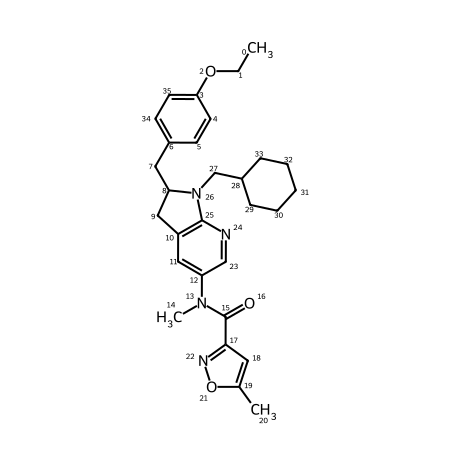 CCOc1ccc(CC2Cc3cc(N(C)C(=O)c4cc(C)on4)cnc3N2CC2CCCCC2)cc1